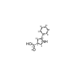 O=S(O)c1c[nH]c(-c2ccccc2)c1